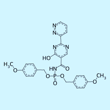 COc1ccc(COP(=O)(NC(=O)c2cnc(-c3cccnn3)nc2O)OCc2ccc(OC)cc2)cc1